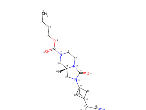 CCCCOC(=O)N1CCN2C(=O)N(C34CC(C(C)C#N)(C3)C4)C[C@@H]2C1